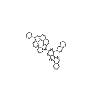 c1ccc(-c2cc3ccc4ccc5c6c7c(cccc7n5-c5nc(-c7ccc8ccccc8c7)c7c(n5)oc5c8ccccc8cnc57)-c5cccc2c5c3c46)cc1